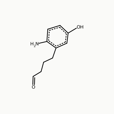 Nc1ccc(O)cc1CCCC=O